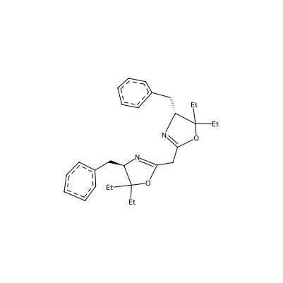 CCC1(CC)OC(CC2=N[C@H](Cc3ccccc3)C(CC)(CC)O2)=N[C@@H]1Cc1ccccc1